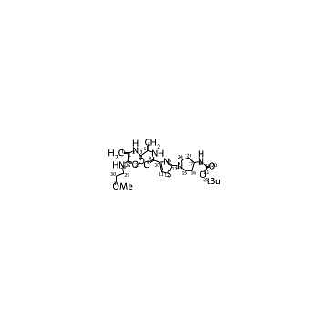 C=C(NC(=O)C(=C)NC(=O)c1csc(N2CCC(NC(=O)OC(C)(C)C)CC2)n1)C(=O)NCCOC